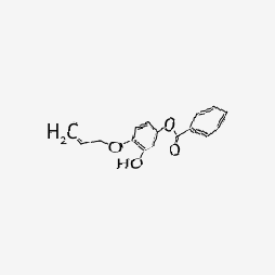 C=CCOc1ccc(OC(=O)c2ccccc2)cc1O